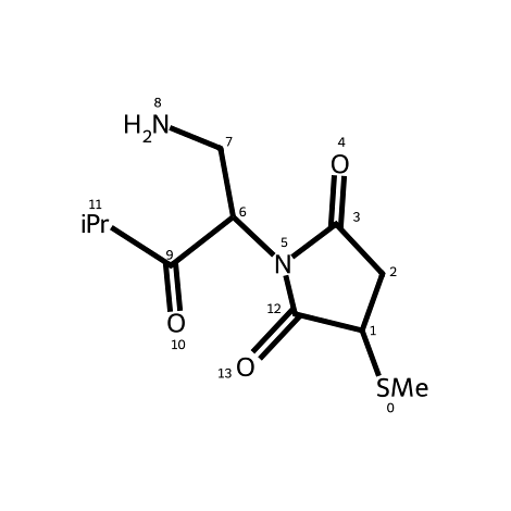 CSC1CC(=O)N(C(CN)C(=O)C(C)C)C1=O